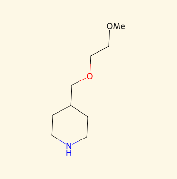 COCCOCC1CCNCC1